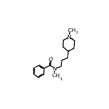 CN1CCC(CCCN(C)C(=O)c2ccccc2)CC1